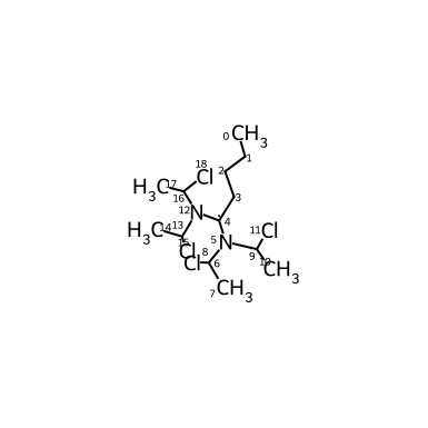 CCCC[C](N(C(C)Cl)C(C)Cl)N(C(C)Cl)C(C)Cl